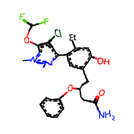 CCc1cc(O)c(CC(CC(N)=O)Oc2ccccc2)cc1-c1nn(C)c(OC(F)F)c1Cl